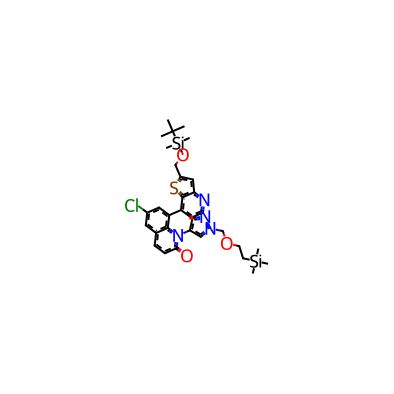 CC(C)(C)[Si](C)(C)OCc1cc2nccc(-c3cc(Cl)cc4ccc(=O)n(-c5cnn(COCC[Si](C)(C)C)c5)c34)c2s1